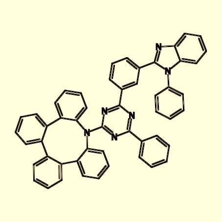 c1ccc(-c2nc(-c3cccc(-c4nc5ccccc5n4-c4ccccc4)c3)nc(-n3c4ccccc4c4ccccc4c4ccccc4c4ccccc43)n2)cc1